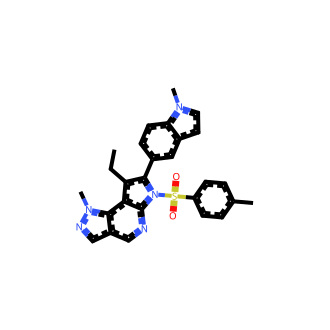 CCc1c(-c2ccc3c(ccn3C)c2)n(S(=O)(=O)c2ccc(C)cc2)c2ncc3cnn(C)c3c12